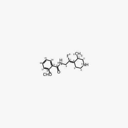 CC1CNCC/C1=C(/F)CNC(=O)c1ccccc1C=O